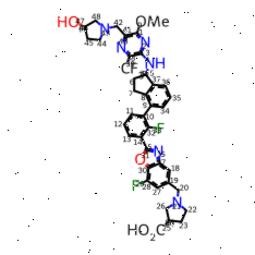 COc1nc(N[C@@H]2CCc3c(-c4cccc(-c5nc6cc(CN7CC[C@@H](C(=O)O)C7)cc(F)c6o5)c4F)cccc32)c(C(F)(F)F)nc1CN1CC[C@@H](O)C1